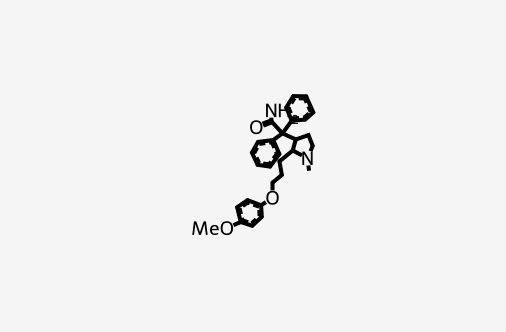 COc1ccc(OCCCC2C(C(C(N)=O)(c3ccccc3)c3ccccc3)CCN2C)cc1